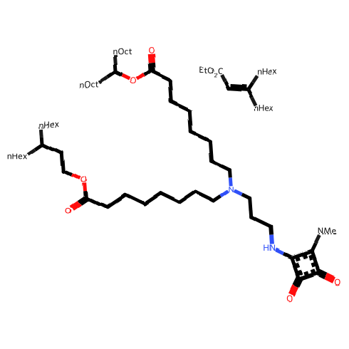 CCCCCCC(=CC(=O)OCC)CCCCCC.CCCCCCCCC(CCCCCCCC)OC(=O)CCCCCCCN(CCCCCCCC(=O)OCCC(CCCCCC)CCCCCC)CCCNc1c(NC)c(=O)c1=O